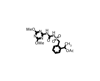 COc1nc(NC(=O)NS(=O)(=O)Cc2ccccc2C(C)OC(C)=O)nc(OC)n1